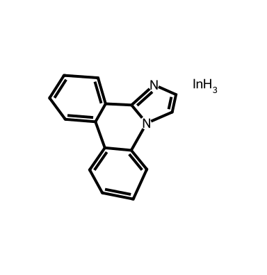 [InH3].c1ccc2c(c1)c1ccccc1n1ccnc21